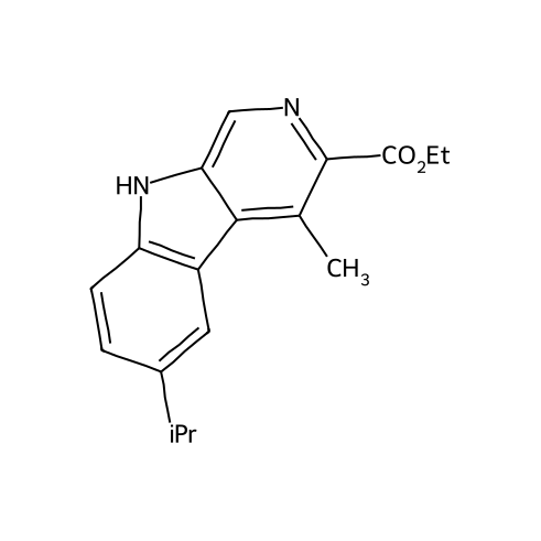 CCOC(=O)c1ncc2[nH]c3ccc(C(C)C)cc3c2c1C